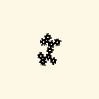 c1cncc(-c2cc(-c3ccc(-c4cc(-c5cccnc5)cc(-n5c6ccccc6c6cnccc65)n4)cc3)nc(-n3c4ccccc4c4cnccc43)c2)c1